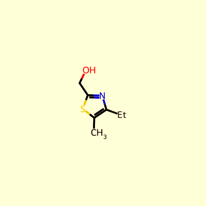 CCc1nc(CO)sc1C